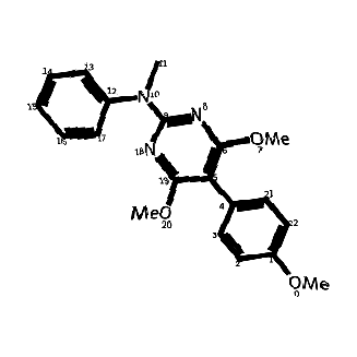 COc1ccc(-c2c(OC)nc(N(C)c3ccccc3)nc2OC)cc1